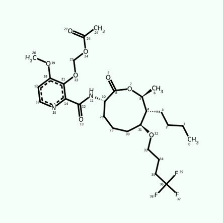 CCCC[C@H]1[C@H](C)OC(=O)[C@@H](NC(=O)c2nccc(OC)c2OCOC(C)=O)CCC[C@@H]1OCCCC(F)(F)F